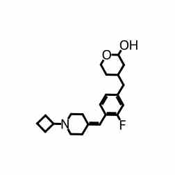 OC1CC(Cc2ccc(C=C3CCN(C4CCC4)CC3)c(F)c2)CCO1